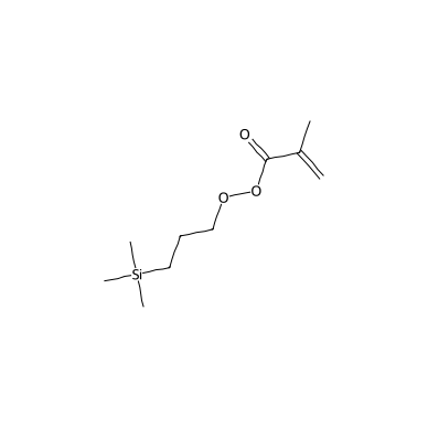 C=C(C)C(=O)OOCCC[Si](C)(C)C